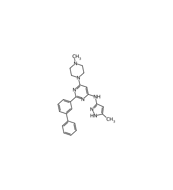 Cc1cc(Nc2cc(N3CCN(C)CC3)nc(-c3cccc(-c4ccccc4)c3)n2)n[nH]1